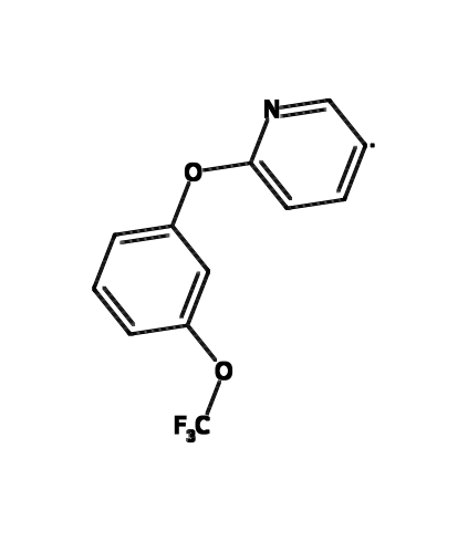 FC(F)(F)Oc1cccc(Oc2cc[c]cn2)c1